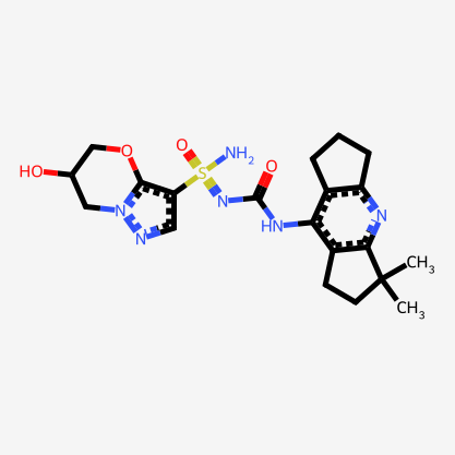 CC1(C)CCc2c1nc1c(c2NC(=O)N=S(N)(=O)c2cnn3c2OCC(O)C3)CCC1